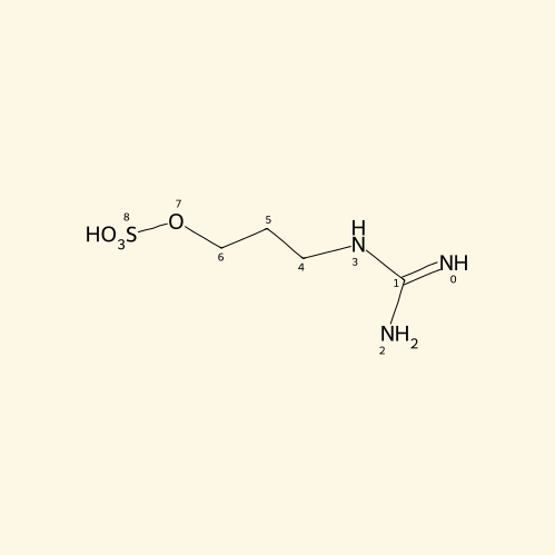 N=C(N)NCCCOS(=O)(=O)O